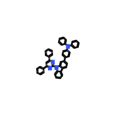 c1ccc(-c2cc(-c3ccccc3)nc(-n3c4ccccc4c4ccc(-c5ccc(N(c6ccccc6)c6ccccc6)cc5)cc43)n2)cc1